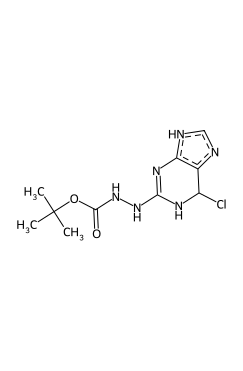 CC(C)(C)OC(=O)NNC1=Nc2[nH]cnc2C(Cl)N1